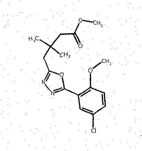 COC(=O)CC(C)(C)Cc1nnc(-c2cc(Cl)ccc2OC)o1